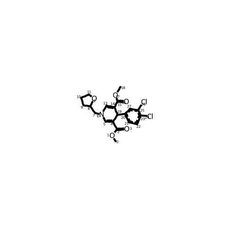 COC(=O)C1=CN(CC2CCCO2)C=C(C(=O)OC)C1c1ccc(Cl)c(Cl)c1